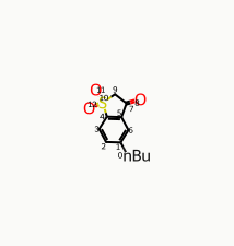 CCCCc1ccc2c(c1)C(=O)CS2(=O)=O